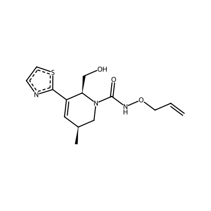 C=CCONC(=O)N1C[C@@H](C)C=C(c2nccs2)[C@H]1CO